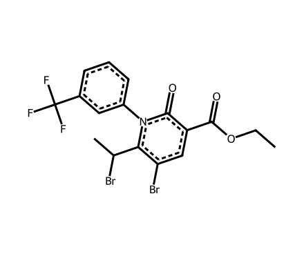 CCOC(=O)c1cc(Br)c(C(C)Br)n(-c2cccc(C(F)(F)F)c2)c1=O